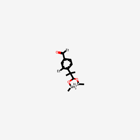 CCC(=O)c1ccc(C(C)(C)C(O[SiH2]C)O[SiH2]C)c(CC)c1